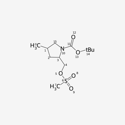 CC1CC(COS(C)(=O)=O)N(C(=O)OC(C)(C)C)C1